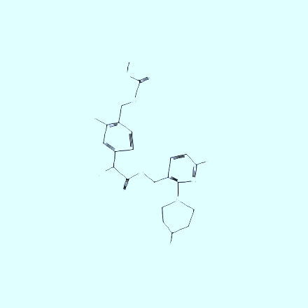 CC1CCN(c2nc(C(F)(F)F)ccc2CNC(=O)C(C)c2ccc(CNC(=O)OC(C)(C)C)c(Cl)c2)CC1